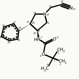 CC(C)(C)OC(=O)N[C@@H]1CN(CC#N)C[C@H]1c1ccccc1